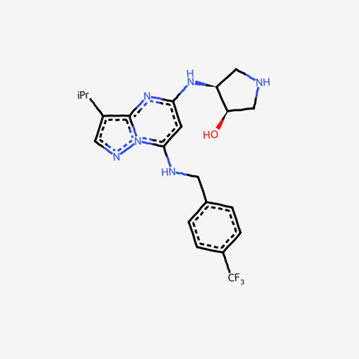 CC(C)c1cnn2c(NCc3ccc(C(F)(F)F)cc3)cc(N[C@H]3CNC[C@H]3O)nc12